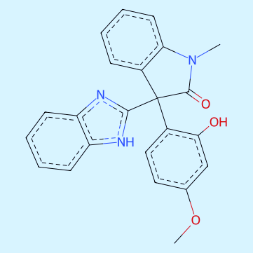 COc1ccc(C2(c3nc4ccccc4[nH]3)C(=O)N(C)c3ccccc32)c(O)c1